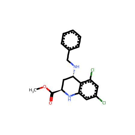 COC(=O)[C@H]1C[C@H](NCc2ccccc2)c2c(Cl)cc(Cl)cc2N1